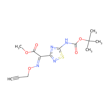 C#CCON=C(C(=O)OC)c1nsc(NC(=O)OC(C)(C)C)n1